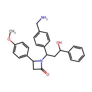 COc1ccc(C2CC(=O)N2C(CC(O)c2ccccc2)c2ccc(CN)cc2)cc1